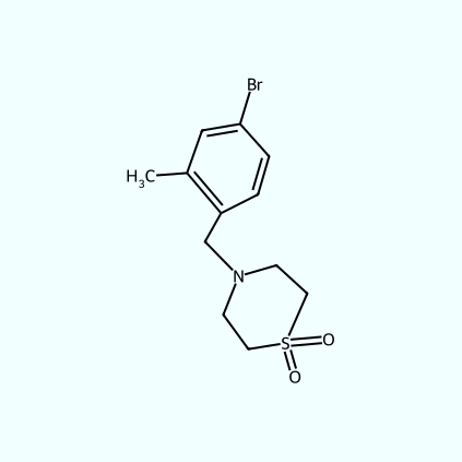 Cc1cc(Br)ccc1CN1CCS(=O)(=O)CC1